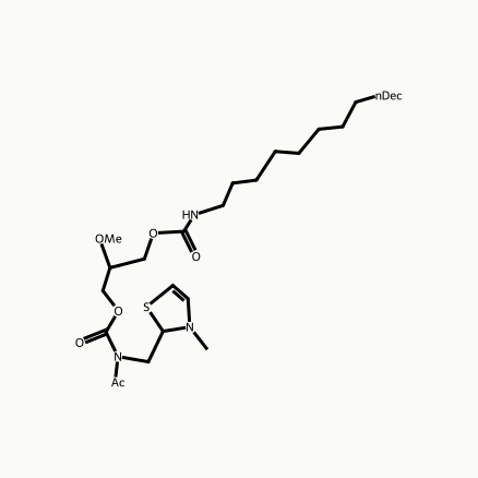 CCCCCCCCCCCCCCCCCCNC(=O)OCC(COC(=O)N(CC1SC=CN1C)C(C)=O)OC